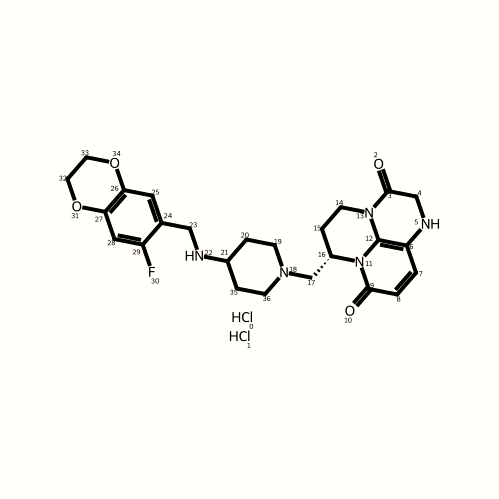 Cl.Cl.O=C1CNc2ccc(=O)n3c2N1CC[C@H]3CN1CCC(NCc2cc3c(cc2F)OCCO3)CC1